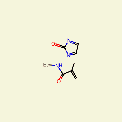 C=C(C)C(=O)NCC.O=C1N=CC=N1